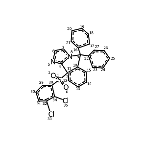 O=S(=O)(Cc1nccn1C(c1ccccc1)(c1ccccc1)c1ccccc1)c1cccc(Cl)c1Cl